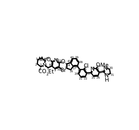 CCOC(=O)[C@@H]1CCCCN1Cc1cc(Br)c(O[C@H]2CCc3c(-c4cccc(-c5ccc(C6=NCCN6)c(OC)n5)c4Cl)cccc32)nc1OC